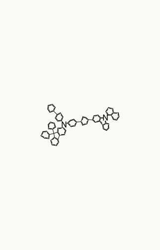 c1ccc(-c2ccc(N(c3ccc(-c4ccc(-c5ccc6c(c5)c5ccccc5n6-c5cccc6ccccc56)cc4)cc3)c3ccc4c(c3)C(c3ccccc3)(c3ccccc3)c3ccccc3-4)cc2)cc1